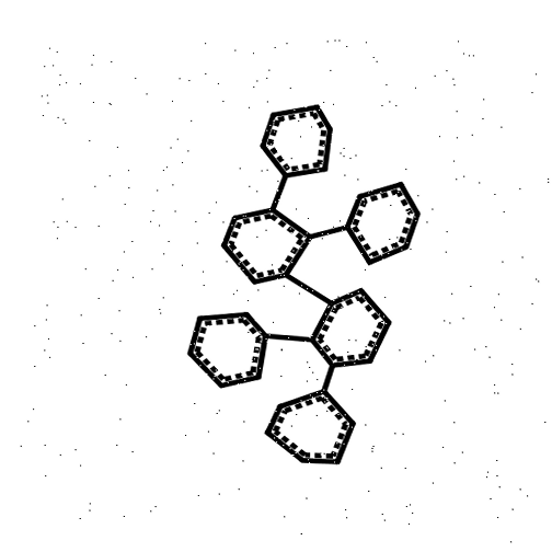 c1ccc(-c2cccc(-c3cccc(-c4ccccc4)c3-c3ccccc3)c2-c2ccccc2)cc1